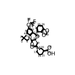 CC(C)(C)CN1C(=O)[C@H](CC(=O)N2CCCC(C(=O)O)C2)O[C@@H](c2cccc3c2OCO3)c2cc(OC(F)(F)F)ccc21